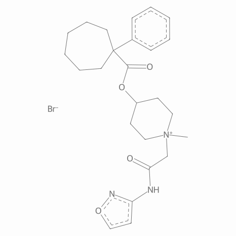 C[N+]1(CC(=O)Nc2ccon2)CCC(OC(=O)C2(c3ccccc3)CCCCCC2)CC1.[Br-]